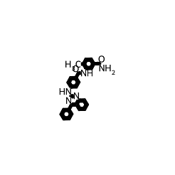 Cc1ccc(C(N)=O)cc1NC(=O)c1ccc(Nc2nc(-c3ccccc3)c3ccccc3n2)cc1